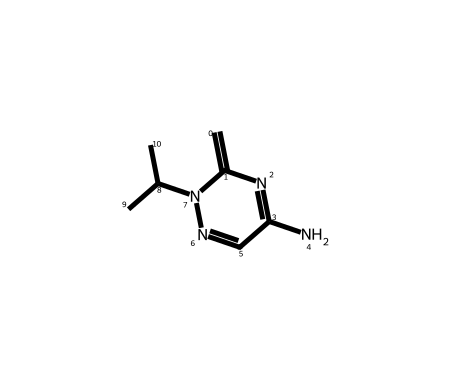 C=C1N=C(N)C=NN1C(C)C